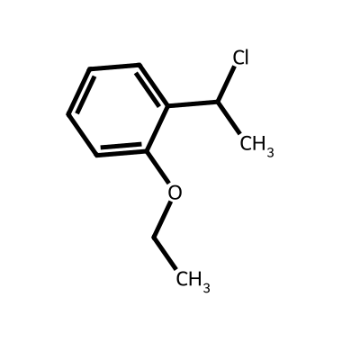 CCOc1ccccc1C(C)Cl